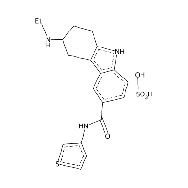 CCNC1CCc2[nH]c3ccc(C(=O)Nc4ccsc4)cc3c2C1.O=S(=O)(O)O